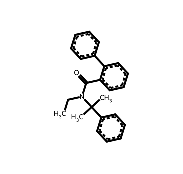 CCN(C(=O)c1ccccc1-c1ccccc1)C(C)(C)c1ccccc1